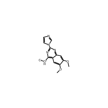 [CH2-][OH+]c1nc(-n2ccnc2)nc2cc(OC)c(OC)cc12